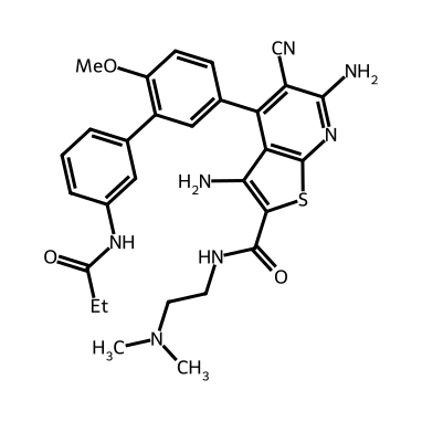 CCC(=O)Nc1cccc(-c2cc(-c3c(C#N)c(N)nc4sc(C(=O)NCCN(C)C)c(N)c34)ccc2OC)c1